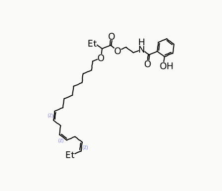 CC/C=C\C/C=C\C/C=C\CCCCCCCCOC(CC)C(=O)OCCNC(=O)c1ccccc1O